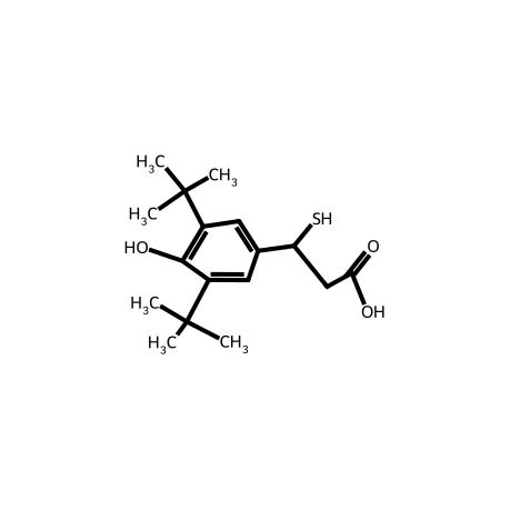 CC(C)(C)c1cc(C(S)CC(=O)O)cc(C(C)(C)C)c1O